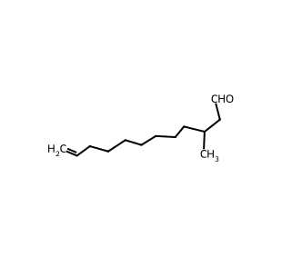 C=CCCCCCCCC(C)CC=O